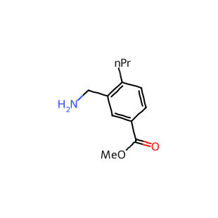 CCCc1ccc(C(=O)OC)cc1CN